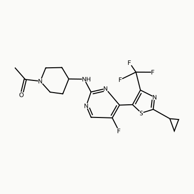 CC(=O)N1CCC(Nc2ncc(F)c(-c3sc(C4CC4)nc3C(F)(F)F)n2)CC1